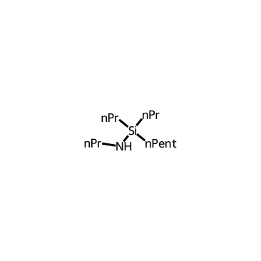 CCCCC[Si](CCC)(CCC)NCCC